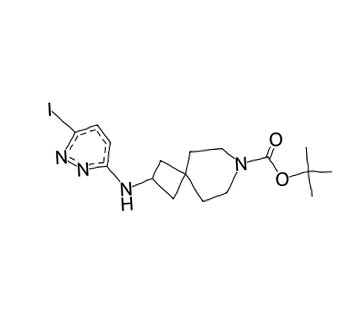 CC(C)(C)OC(=O)N1CCC2(CC1)CC(Nc1ccc(I)nn1)C2